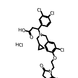 Cl.O=C(O)CC(c1ccc(Cl)c(Cl)c1)N(Cc1ccc(OCCN2C(=O)CCC2=O)c(Cl)c1)CC1CC1